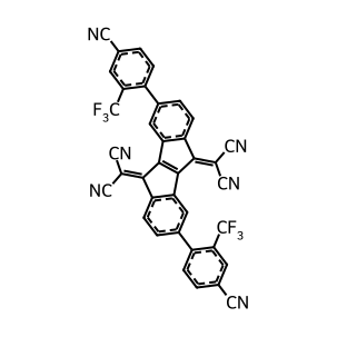 N#CC(C#N)=C1C2=C(C(=C(C#N)C#N)c3ccc(-c4ccc(C#N)cc4C(F)(F)F)cc32)c2cc(-c3ccc(C#N)cc3C(F)(F)F)ccc21